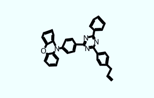 C=CCc1ccc(-c2nc(-c3ccccc3)nc(-c3ccc(N4c5ccccc5Oc5ccccc54)cc3)n2)cc1